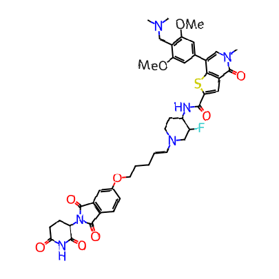 COc1cc(-c2cn(C)c(=O)c3cc(C(=O)NC4CCN(CCCCCOc5ccc6c(c5)C(=O)N(C5CCC(=O)NC5=O)C6=O)CC4F)sc23)cc(OC)c1CN(C)C